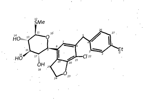 CCc1ccc(Cc2cc([C@@H]3O[C@H](SC)[C@@H](O)[C@H](O)[C@H]3O)c3c(c2Cl)OCC3)cc1